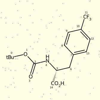 CC(C)(C)OC(=O)N[C@H](Cc1ccc(C(F)(F)F)cc1)C(=O)O